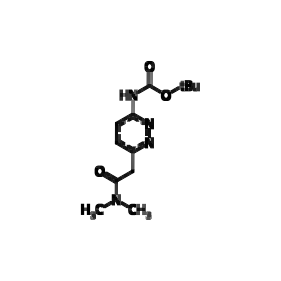 CN(C)C(=O)Cc1ccc(NC(=O)OC(C)(C)C)nn1